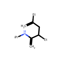 C=C(CC)CC(CC)C(=C)NC(C)C